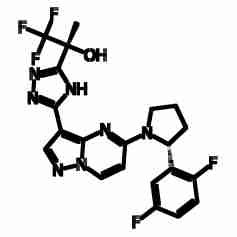 C[C@@](O)(c1nnc(-c2cnn3ccc(N4CCC[C@@H]4c4cc(F)ccc4F)nc23)[nH]1)C(F)(F)F